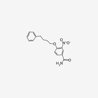 NC(=O)c1ccc(OCCCCc2ccccc2)c([N+](=O)[O-])c1